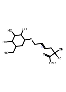 COC(=O)C(O)(C/C=C/COC1CC(CO)C(O)C(O)C1O)C(C)=O